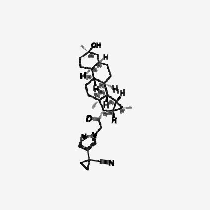 C[C@H]1[C@@H]2[C@H]1[C@H](C(=O)Cn1cc(C3(C#N)CC3)cn1)[C@@]1(C)CC[C@H]3[C@@H](CC[C@@H]4C[C@](C)(O)CC[C@@H]43)[C@H]21